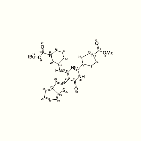 COC(=O)N1CCC(c2nc(NC3CCCN(C(=O)OC(C)(C)C)C3)c(-c3nc4ccccc4s3)c(=O)[nH]2)CC1